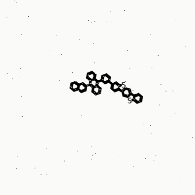 c1cc(-c2ccc3c(c2)sc2cc4c(cc23)sc2ccccc24)cc(-c2c3ccccc3c(-c3ccc4ccccc4c3)c3ccccc23)c1